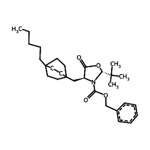 CCCCCC12CCC(C[C@H]3C(=O)O[C@H](C(C)(C)C)N3C(=O)OCc3ccccc3)(CC1)CC2